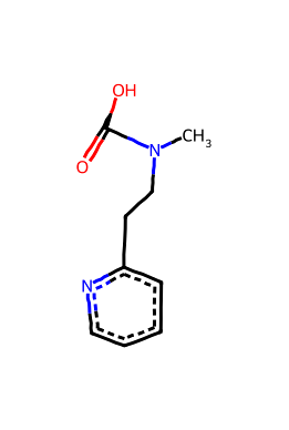 CN(CCc1ccccn1)C(=O)O